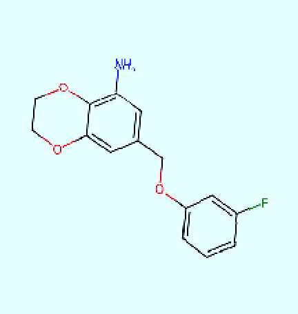 Nc1cc(COc2cccc(F)c2)cc2c1OCCO2